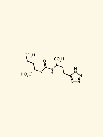 O=C(O)CC[C@H](NC(=O)NC(CCc1nnn[nH]1)C(=O)O)C(=O)O